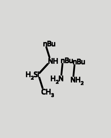 CCCCN.CCCCN.CCCCN[SiH2]C